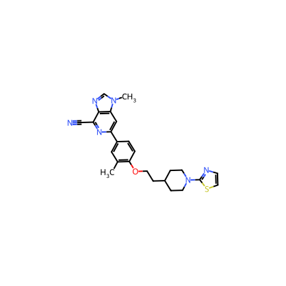 Cc1cc(-c2cc3c(ncn3C)c(C#N)n2)ccc1OCCC1CCN(c2nccs2)CC1